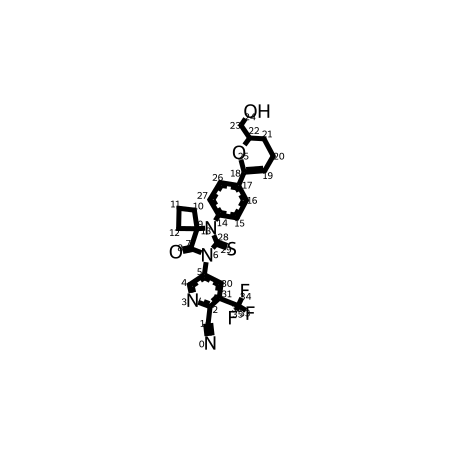 N#Cc1ncc(N2C(=O)C3(CCC3)N(c3ccc(C4=CCCC(CO)O4)cc3)C2=S)cc1C(F)(F)F